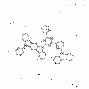 C1=CC2c3ccccc3N(c3cccc(-c4nc(-c5ccccc5)nc(-n5c6ccccc6c6cc7c(cc65)c5ccccc5n7-c5ccccc5)n4)n3)C2C=C1